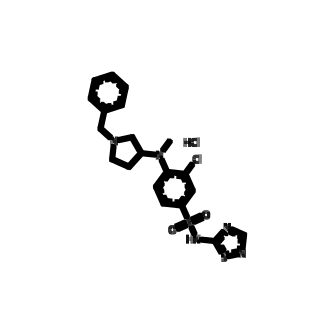 CN(c1ccc(S(=O)(=O)Nc2ncns2)cc1Cl)C1CCN(Cc2ccccc2)C1.Cl